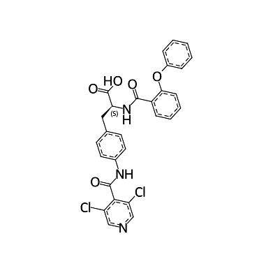 O=C(N[C@@H](Cc1ccc(NC(=O)c2c(Cl)cncc2Cl)cc1)C(=O)O)c1ccccc1Oc1ccccc1